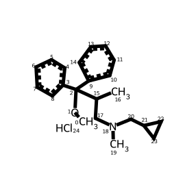 COC(c1ccccc1)(c1ccccc1)C(C)CN(C)CC1CC1.Cl